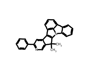 CC1(C)c2cnc(-c3ccccc3)cc2-c2c1n1c3ccccc3c3cccc2c31